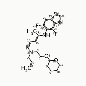 C=CCN(CCOC1CCCCO1)/N=C\C=C(/C)Nc1c(F)cc2scnc2c1F